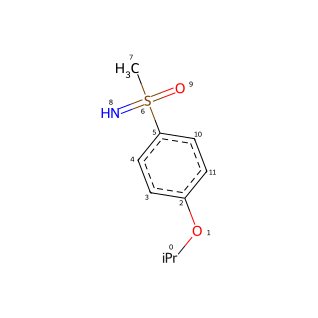 CC(C)Oc1ccc(S(C)(=N)=O)cc1